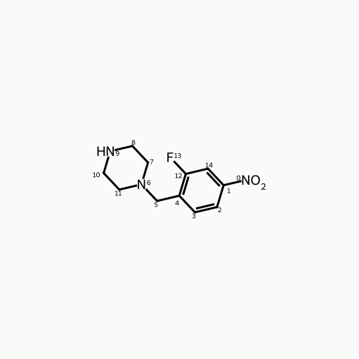 O=[N+]([O-])c1ccc(CN2CCNCC2)c(F)c1